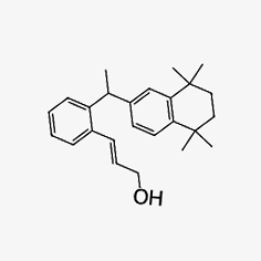 CC(c1ccc2c(c1)C(C)(C)CCC2(C)C)c1ccccc1/C=C/CO